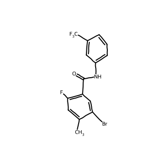 Cc1cc(F)c(C(=O)Nc2cccc(C(F)(F)F)c2)cc1Br